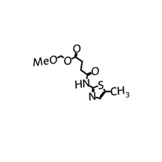 COCOC(=O)CCC(=O)Nc1ncc(C)s1